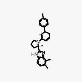 Cc1ccc(C2[C]=C(N3CCC[C@@]3(C)c3nc4c(C)c(C)ccc4[nH]3)C=CC2)cc1